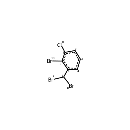 Clc1cccc(C(Br)Br)c1Br